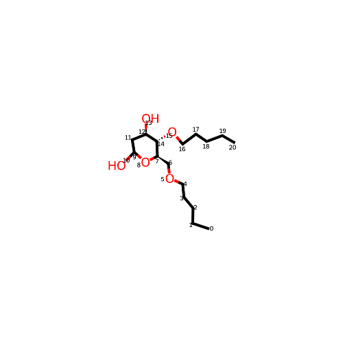 CCCCCOC[C@H]1OC(O)C[C@@H](O)[C@@H]1OCCCCC